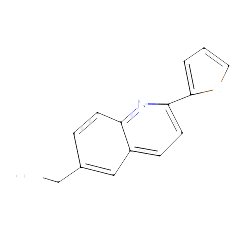 O=C(O)Cc1ccc2nc(-c3cccs3)ccc2c1